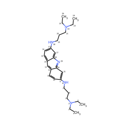 CCN(CC)CCCNc1ccc2cc3ccc(NCCCN(CC)CC)cc3nc2c1